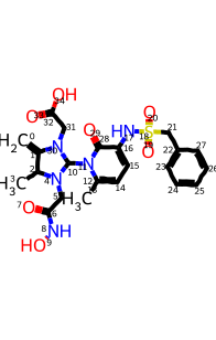 C=C1C(C)N(CC(=O)NO)C(n2c(C)ccc(NS(=O)(=O)Cc3ccccc3)c2=O)N1CC(=O)O